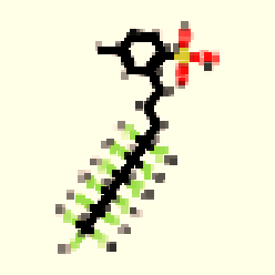 Cc1ccc(S(=O)(=O)O)c(CCCC(F)(F)C(F)(F)C(F)(F)C(F)(F)C(F)(F)C(F)(F)F)c1